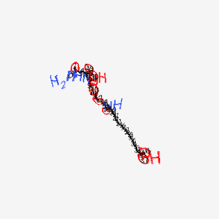 NC(=O)CC[C@H](NC(=O)COCCOCCNC(=O)CCCCCCCCCCCCCCCCC(=O)O)C(=O)O